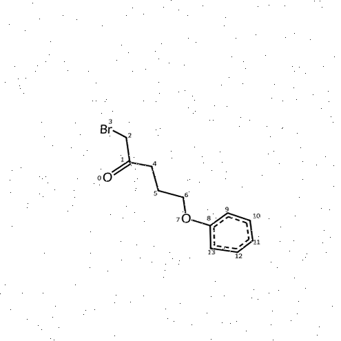 O=C(CBr)CCCOc1ccccc1